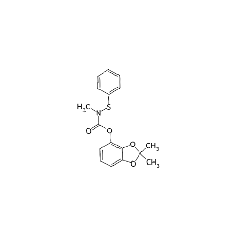 CN(Sc1ccccc1)C(=O)Oc1cccc2c1OC(C)(C)O2